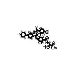 COC(=O)C(O)CNC(=O)c1ccc(CN(C(=O)NC(C)c2ccc(Cl)cc2)c2ccc(C3CCCCC3)cc2)cc1